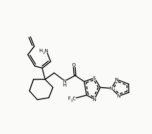 C=C/C=C\C(=C/N)C1(CNC(=O)c2sc(-n3nccn3)nc2C(F)(F)F)CCCCC1